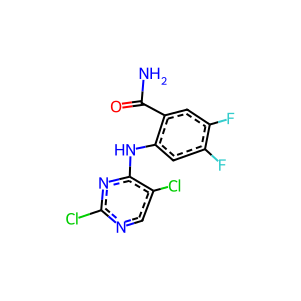 NC(=O)c1cc(F)c(F)cc1Nc1nc(Cl)ncc1Cl